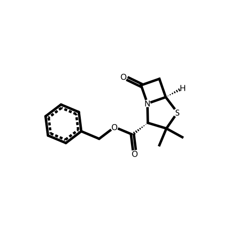 CC1(C)S[C@@H]2CC(=O)N2[C@H]1C(=O)OCc1ccccc1